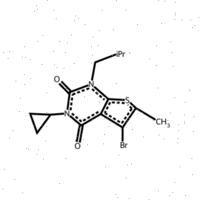 Cc1sc2c(c1Br)c(=O)n(C1CC1)c(=O)n2CC(C)C